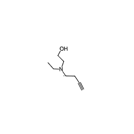 C#CC[CH]N(CC)CCO